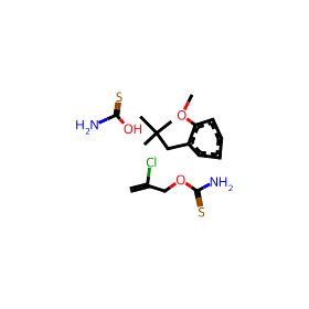 C=C(Cl)COC(N)=S.COc1ccccc1CC(C)(C)C.NC(O)=S